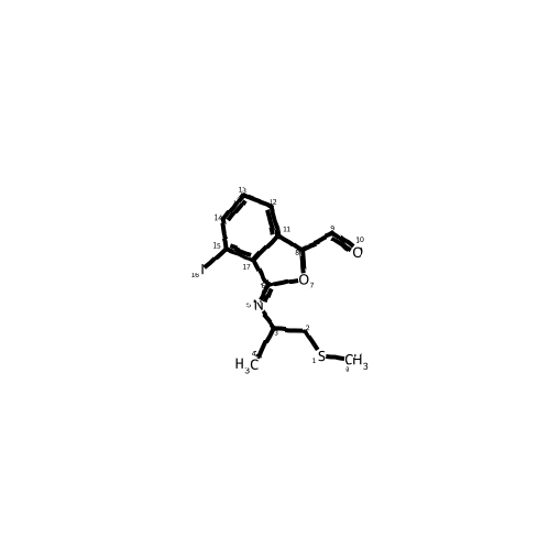 CSCC(C)N=C1OC(C=O)c2cccc(I)c21